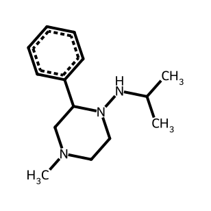 CC(C)NN1CCN(C)CC1c1ccccc1